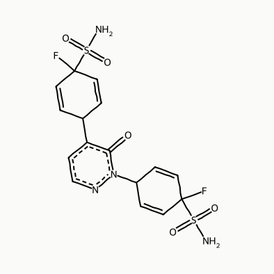 NS(=O)(=O)C1(F)C=CC(c2ccnn(C3C=CC(F)(S(N)(=O)=O)C=C3)c2=O)C=C1